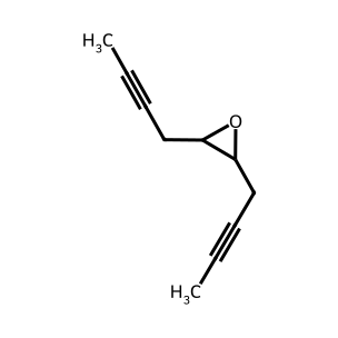 CC#CCC1OC1CC#CC